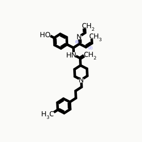 C=C/N=C(\C=C/C)C(NC(=C)C1CCN(CCCc2ccc(C)cc2)CC1)c1ccc(O)cc1